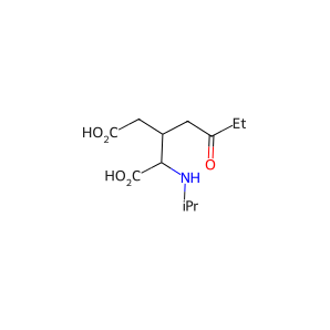 CCC(=O)CC(CC(=O)O)C(NC(C)C)C(=O)O